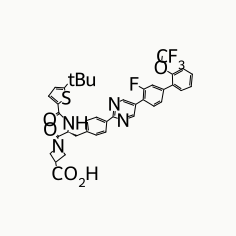 CC(C)(C)c1ccc(C(=O)N[C@@H](Cc2ccc(-c3ncc(-c4ccc(-c5ccccc5OC(F)(F)F)cc4F)cn3)cc2)C(=O)N2CC(C(=O)O)C2)s1